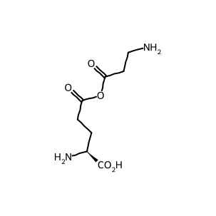 NCCC(=O)OC(=O)CC[C@H](N)C(=O)O